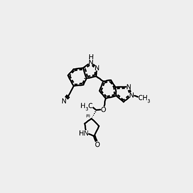 CC(Oc1cc(-c2n[nH]c3ccc(C#N)cc23)cc2nn(C)cc12)[C@H]1CNC(=O)C1